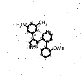 COc1ccccc1-c1ccncc1-c1n[nH]cc1-c1cc(C)cc(C(F)(F)F)c1